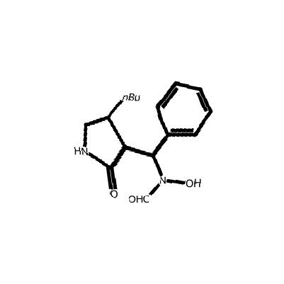 CCCCC1CNC(=O)C1C(c1ccccc1)N(O)C=O